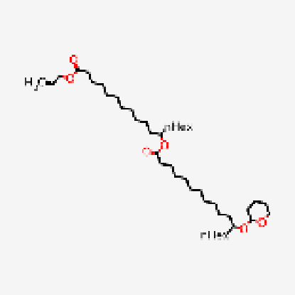 C=CCOC(=O)CCCCCCCCCCC(CCCCCC)OC(=O)CCCCCCCCCCC(CCCCCC)OC1CCCCO1